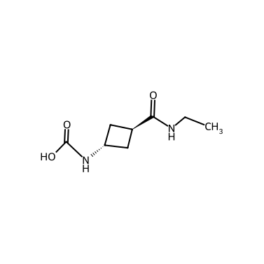 CCNC(=O)[C@H]1C[C@H](NC(=O)O)C1